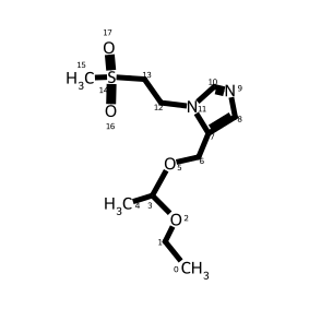 CCOC(C)OCc1cncn1CCS(C)(=O)=O